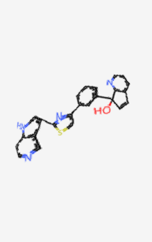 O[C@]1(c2cccc(-c3csc(-c4c[nH]c5ccncc45)n3)c2)C=Cc2cccnc21